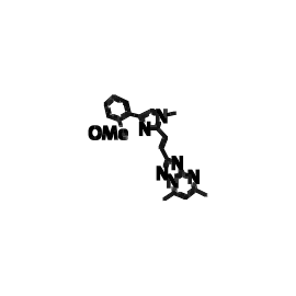 COc1ccccc1-c1cn(C)c(C=Cc2nc3nc(C)cc(C)n3n2)n1